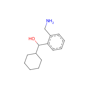 NCc1ccccc1C(O)C1CCCCC1